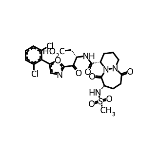 CS(=O)(=O)N[C@H]1CCC(=O)N2CCC[C@@H](C(=O)N[C@@H](CC(=O)O)C(=O)c3ncc(-c4c(Cl)cccc4Cl)o3)N2C1=O